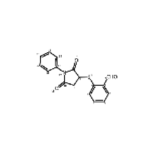 O=Cc1ccccc1SC1CC(=O)N(c2ccccc2)C1=O